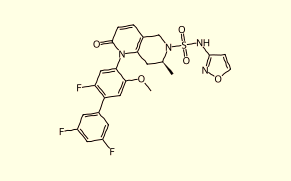 COc1cc(-c2cc(F)cc(F)c2)c(F)cc1-n1c2c(ccc1=O)CN(S(=O)(=O)Nc1ccon1)[C@@H](C)C2